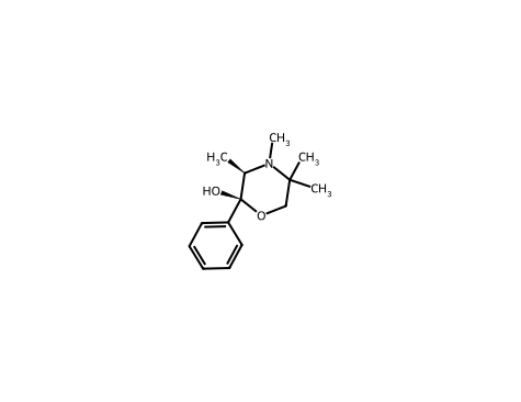 C[C@H]1N(C)C(C)(C)CO[C@]1(O)c1ccccc1